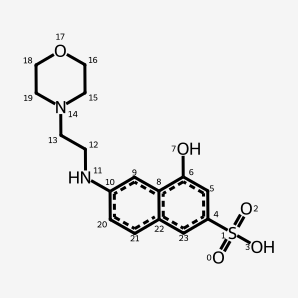 O=S(=O)(O)c1cc(O)c2cc(NCCN3CCOCC3)ccc2c1